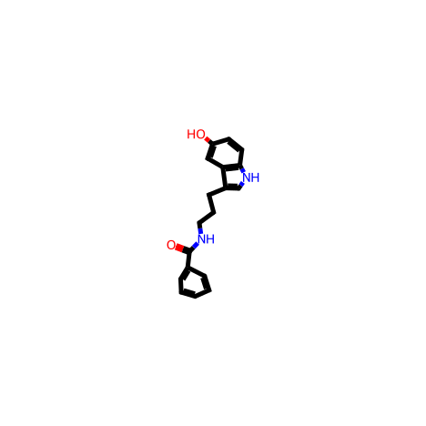 O=C(NCCCc1c[nH]c2ccc(O)cc12)c1ccccc1